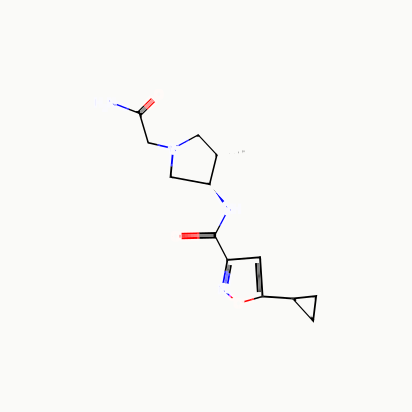 C[C@H]1CN(CC(N)=O)C[C@@H]1NC(=O)c1cc(C2CC2)on1